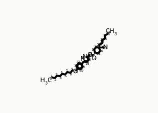 CCCCCCCCCCOc1ccc(-c2ccc(OC(=O)[C@H]3CC[C@@](C#N)(CCCCCCC)CC3)nn2)cc1